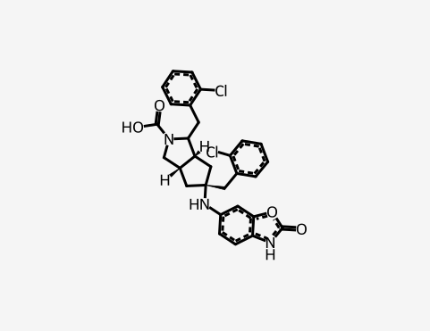 O=C(O)N1C[C@H]2C[C@@](Cc3ccccc3Cl)(Nc3ccc4[nH]c(=O)oc4c3)C[C@H]2C1Cc1ccccc1Cl